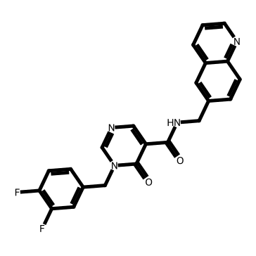 O=C(NCc1ccc2ncccc2c1)c1cncn(Cc2ccc(F)c(F)c2)c1=O